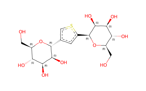 OC[C@H]1O[C@H](c2csc([C@@H]3O[C@H](CO)[C@@H](O)[C@H](O)[C@@H]3O)c2)[C@@H](O)[C@@H](O)[C@@H]1O